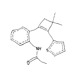 CC(=O)Nc1ccccc1C1=C(c2cccs2)C(C)(C)C1